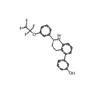 Oc1cccc(-c2cccc3c2CCC(c2cccc(OC(F)(F)C(F)F)c2)N3)c1